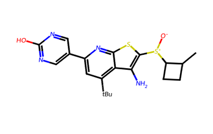 CC1CCC1[S+]([O-])c1sc2nc(-c3cnc(O)nc3)cc(C(C)(C)C)c2c1N